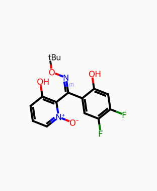 CC(C)(C)O/N=C(/c1cc(F)c(F)cc1O)c1c(O)ccc[n+]1[O-]